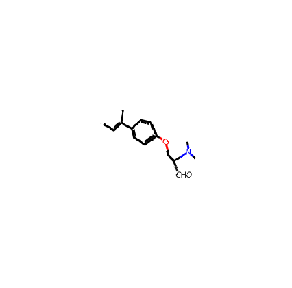 [CH2]C=C(C)c1ccc(OCC(C=O)N(C)C)cc1